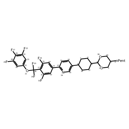 CCCCCC1COC(C2CCC(c3ccc(-c4cc(F)c(C(F)(F)Oc5cc(F)c(F)c(F)c5)c(F)c4)nc3)CC2)OC1